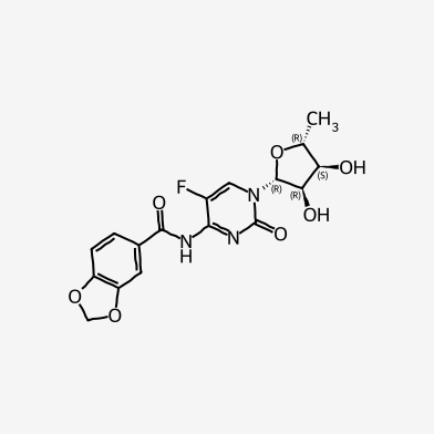 C[C@H]1O[C@@H](n2cc(F)c(NC(=O)c3ccc4c(c3)OCO4)nc2=O)[C@H](O)[C@@H]1O